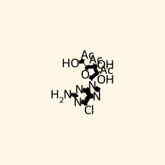 CC(=O)C(O)[C@H]1O[C@@H](n2cnc3c(Cl)nc(N)nc32)[C@@](O)(C(C)=O)[C@@]1(O)C(C)=O